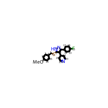 COc1ccc(CSc2[nH]nc(-c3ccc(F)cc3)c2-c2ccncc2)cc1